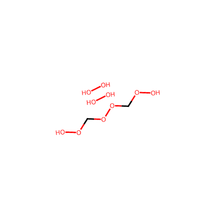 OO.OO.OOCOOCOO